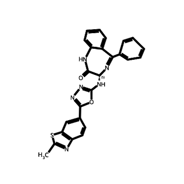 Cc1nc2ccc(-c3nnc(N[C@H]4N=C(c5ccccc5)c5ccccc5NC4=O)o3)cc2s1